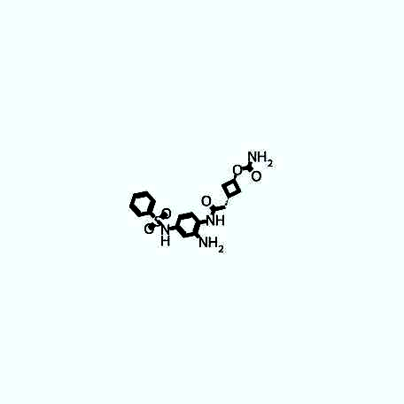 NC(=O)O[C@H]1C[C@H](CC(=O)Nc2ccc(NS(=O)(=O)c3ccccc3)cc2N)C1